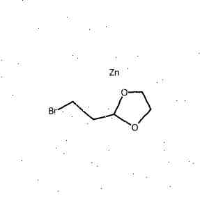 BrCCC1OCCO1.[Zn]